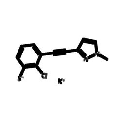 Cn1ccc(C#Cc2cccc([S-])c2Cl)n1.[K+]